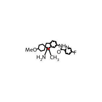 COC1CCC2(CC1)Cc1ccc(NC(=O)c3ccc(F)cn3)cc1C21N=C(C)C(N)=N1